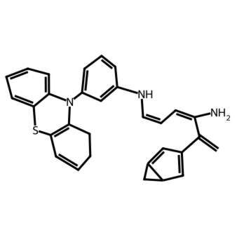 C=C(C1=CC2CC2=C1)/C(N)=C\C=C/Nc1cccc(N2C3=C(C=CCC3)Sc3ccccc32)c1